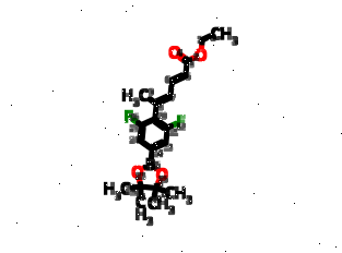 CCOC(=O)/C=C/C=C(\C)c1c(F)cc(B2OC(C)(C)C(C)(C)O2)cc1F